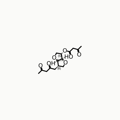 CC(=O)CC(=O)C[C@@H]1CO[C@H]2[C@@H]1OC[C@@H]2OC(=O)CC(C)=O